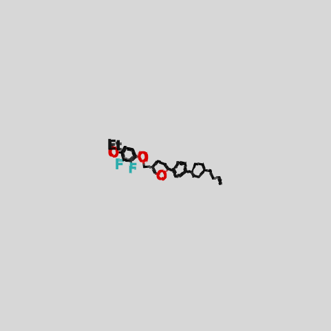 C=CCCC1CCC(c2ccc(C3CCC(COc4ccc(OCC)c(F)c4F)CO3)cc2)CC1